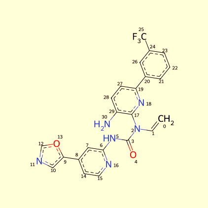 C=CN(C(=O)Nc1cc(-c2cnco2)ccn1)c1nc(-c2cccc(C(F)(F)F)c2)ccc1N